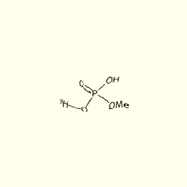 [3H]OP(=O)(O)OC